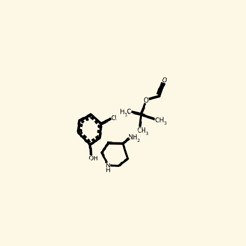 CC(C)(C)OC=O.NC1CCNCC1.Oc1cccc(Cl)c1